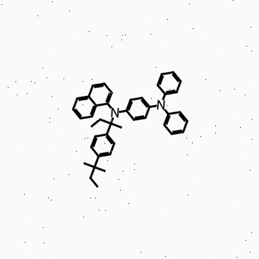 CCC(C)(C)c1ccc(C(C)(CC)N(c2ccc(N(c3ccccc3)c3ccccc3)cc2)c2cccc3ccccc23)cc1